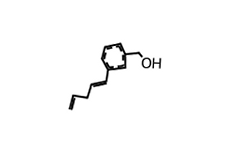 C=CCC=Cc1cccc(CO)c1